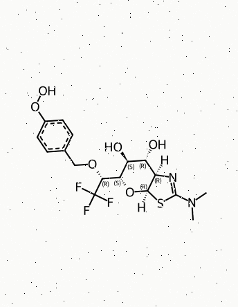 CN(C)C1=N[C@@H]2[C@@H](O)[C@H](O)[C@@H]([C@@H](OCc3ccc(OO)cc3)C(F)(F)F)O[C@@H]2S1